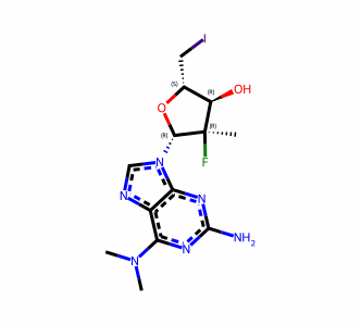 CN(C)c1nc(N)nc2c1ncn2[C@@H]1O[C@H](CI)[C@@H](O)[C@@]1(C)F